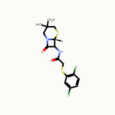 CC(=O)OC1(C(=O)O)CS[C@@H]2C(NC(=O)CSc3cc(Cl)ccc3Cl)C(=O)N2C1